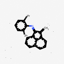 C=c1/c(=N/c2c(C(C)C)cccc2C(C)C)c2cccc3cccc1c32